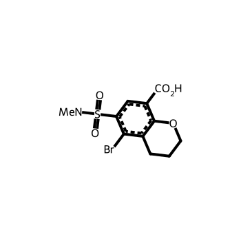 CNS(=O)(=O)c1cc(C(=O)O)c2c(c1Br)CCCO2